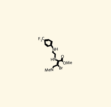 CNC/C(Br)=C(\NCCNc1ccc(C(F)(F)F)cc1)C(=O)OC